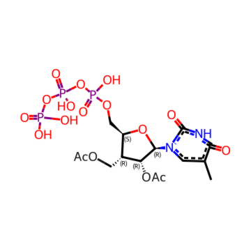 CC(=O)OC[C@H]1[C@@H](OC(C)=O)[C@H](n2cc(C)c(=O)[nH]c2=O)O[C@@H]1COP(=O)(O)OP(=O)(O)OP(=O)(O)O